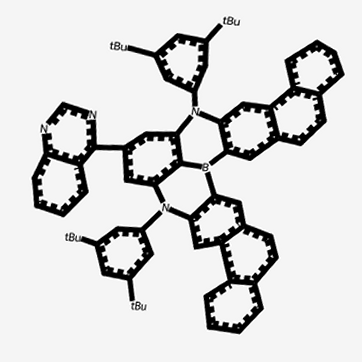 CC(C)(C)c1cc(N2c3cc4c(ccc5ccccc54)cc3B3c4cc5ccc6ccccc6c5cc4N(c4cc(C(C)(C)C)cc(C(C)(C)C)c4)c4cc(-c5ncnc6ccccc56)cc2c43)cc(C(C)(C)C)c1